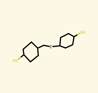 SC1CCC(CCC2CCC(S)CC2)CC1